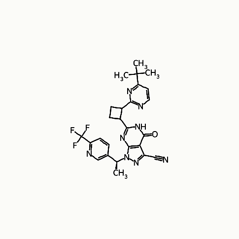 C[C@@H](c1ccc(C(F)(F)F)nc1)n1nc(C#N)c2c(=O)[nH]c(C3CCC3c3nccc(C(C)(C)C)n3)nc21